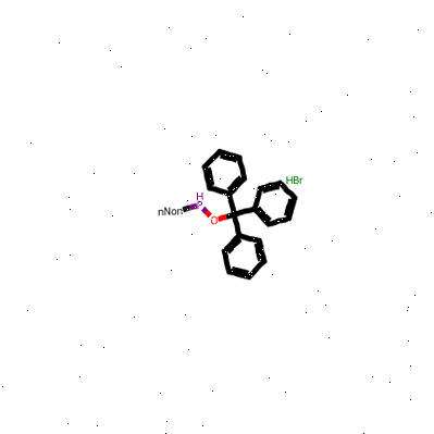 Br.CCCCCCCCCPOC(c1ccccc1)(c1ccccc1)c1ccccc1